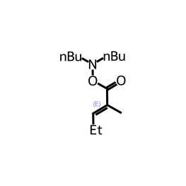 CC/C=C(\C)C(=O)ON(CCCC)CCCC